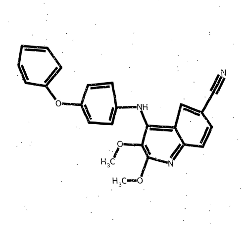 COc1nc2ccc(C#N)cc2c(Nc2ccc(Oc3ccccc3)cc2)c1OC